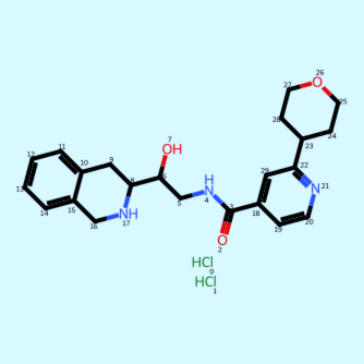 Cl.Cl.O=C(NCC(O)C1Cc2ccccc2CN1)c1ccnc(C2CCOCC2)c1